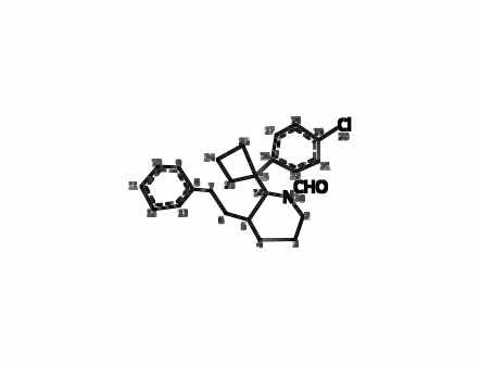 O=CN1CCCC(CCc2ccccc2)C1C1(c2ccc(Cl)cc2)CCC1